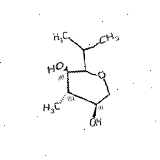 CC(C)C1OC[C@@H](O)[C@H](C)[C@H]1O